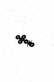 c1ccc(N2c3ccccc3N(c3ccc(-n4nc5ccccc5n4)cc3)c3ccccc32)cc1